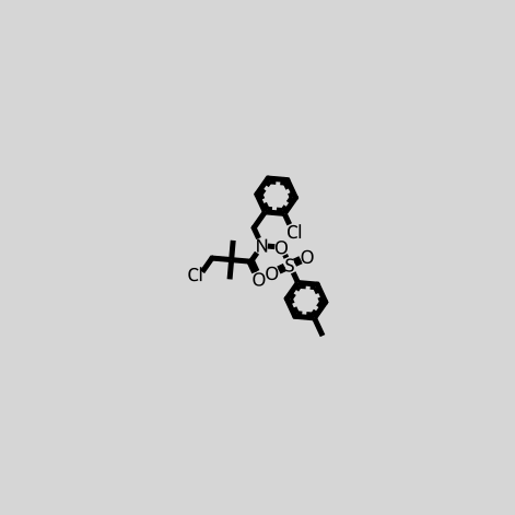 Cc1ccc(S(=O)(=O)ON(Cc2ccccc2Cl)C(=O)C(C)(C)CCl)cc1